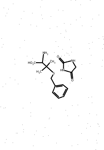 CC(C)(SCc1ccccc1)C(N)C(=O)O.O=C1CNC(=O)N1